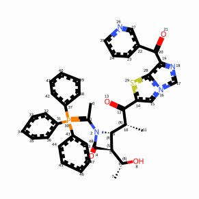 CC(N1C(=O)[C@H]([C@@H](C)O)[C@H]1[C@@H](C)C(=O)c1cn2cnc(C(=O)c3cccnc3)c2s1)=P(c1ccccc1)(c1ccccc1)c1ccccc1